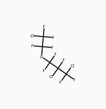 FC(F)(Cl)C(F)(F)OC(F)(F)C(F)(Cl)C(F)(F)Cl